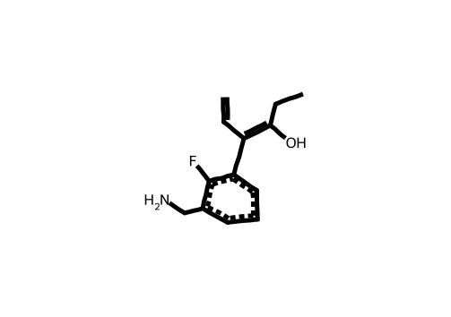 C=C/C(=C(/O)CC)c1cccc(CN)c1F